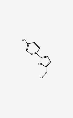 Oc1ccc(-c2ccc(OS)[nH]2)cc1